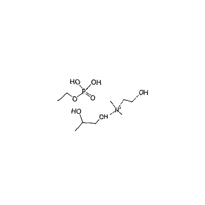 CC(O)CO.CCOP(=O)(O)O.C[N+](C)(C)CCO